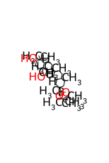 CC1(C)[C@@H](O)CC[C@]2(C)[C@H]3C(O)C=C4[C@@H]5C[C@](C)(B6OC(C)(C)C(C)(C)O6)CC[C@]5(C)CC[C@@]4(C)[C@]3(C)CC[C@@H]12